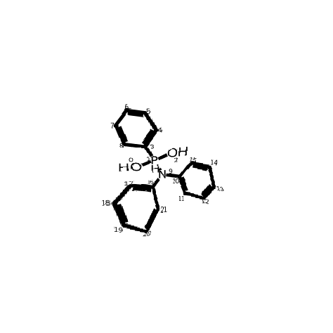 O[PH](O)(c1ccccc1)N(c1ccccc1)c1ccccc1